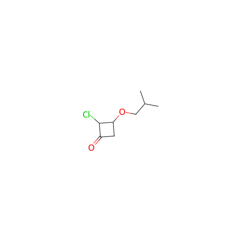 CC(C)COC1CC(=O)C1Cl